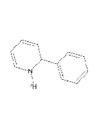 [2H]N1C=CC=CC1c1ccccc1